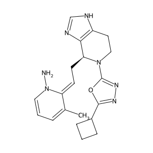 CC1=CC=CN(N)/C1=C\C[C@H]1c2nc[nH]c2CCN1c1nnc(C2CCC2)o1